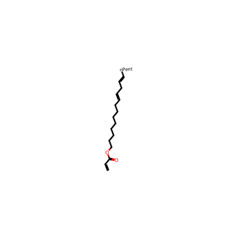 C=CC(=O)OCCCCCCCCC=CCC=CCCCCC